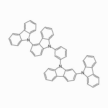 c1cc(-n2c3ccccc3c3ccc(-n4c5ccccc5c5ccccc54)cc32)cc(-n2c3ccccc3c3c(-n4c5ccccc5c5ccccc54)cccc32)c1